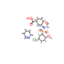 COc1ccc(Cl)cc1S(=O)(=O)N1COc2ccc(C(=O)O)cc21.c1ccncc1